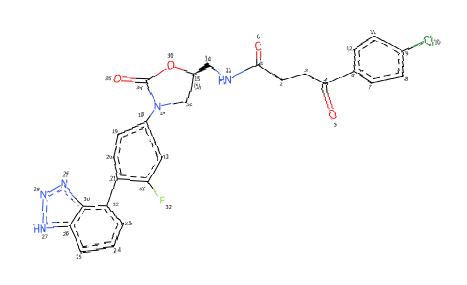 O=C(CCC(=O)c1ccc(Cl)cc1)NC[C@H]1CN(c2ccc(-c3cccc4[nH]nnc34)c(F)c2)C(=O)O1